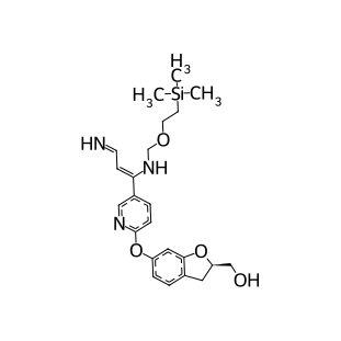 C[Si](C)(C)CCOCN/C(=C\C=N)c1ccc(Oc2ccc3c(c2)O[C@@H](CO)C3)nc1